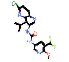 COc1ncc(NC(=O)Nc2cnc3ccc(Cl)nc3c2C(C)C)cc1C(F)F